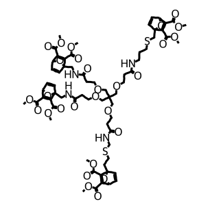 COC(=O)C1=C(C(=O)OC)C2(CCSCNC(=O)CCOCC(COCCC(=O)NCCCSCC34C=CC(O3)C(C(=O)OC)=C4C(=O)OC)(COCCC(=O)NCC34C=CC(O3)C(C(=O)OC)=C4C(=O)OC)COCCC(=O)NCC34C=CC(O3)C(C(=O)OC)=C4C(=O)OC)C=CC1O2